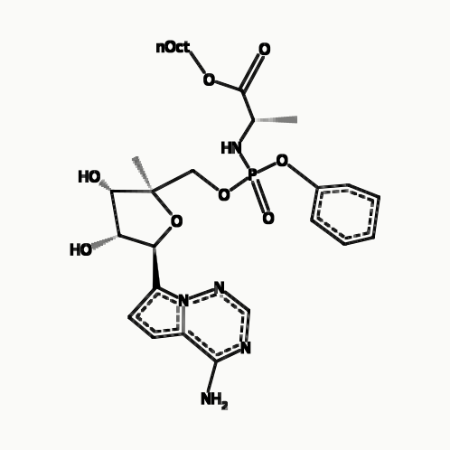 CCCCCCCCOC(=O)[C@H](C)NP(=O)(OC[C@@]1(C)O[C@@H](c2ccc3c(N)ncnn23)[C@H](O)[C@@H]1O)Oc1ccccc1